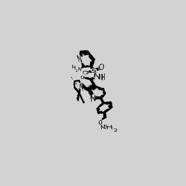 C[C@@H]1CN(c2nc(-c3ccc(CON)cc3)ccc2C(=O)NS(=O)(=O)c2cccnc2N)C(C)(C)C1